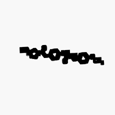 COc1ccc(CNC(=O)Nc2ccc(CC(=O)N3CC[C@@H](O)C3)cc2)cc1